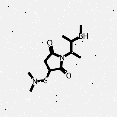 CBC(C)C(C)N1C(=O)CC(SN(C)C)C1=O